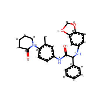 Cc1cc(NC(=O)C(Nc2ccc3c(c2)OCO3)c2ccccc2)ccc1N1CCCCC1=O